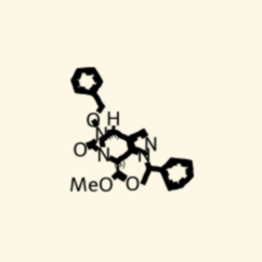 COC(=O)[C@@H]1c2c(cnn2C(C)c2ccccc2)[C@@H]2CN1C(=O)N2OCc1ccccc1